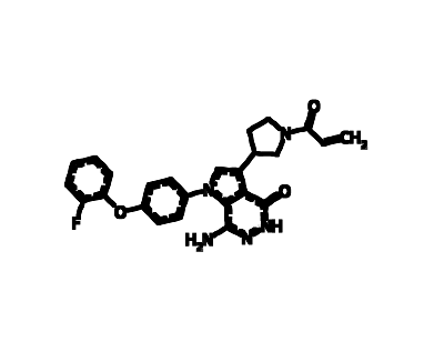 C=CC(=O)N1CCC(c2cn(-c3ccc(Oc4ccccc4F)cc3)c3c(N)n[nH]c(=O)c23)C1